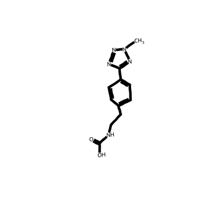 Cn1nnc(-c2ccc(CCNC(=O)O)cc2)n1